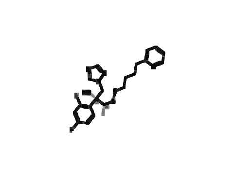 C[C@@H](SSCCCCc1ccccn1)[C@](O)(Cn1cncn1)c1ccc(F)cc1F